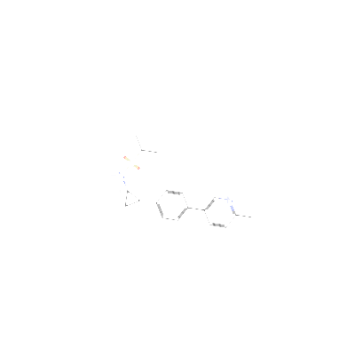 Cc1ccc(-c2ccc([C@@H]3C[C@H]3NS(=O)(=O)C(C)C)cc2)cn1